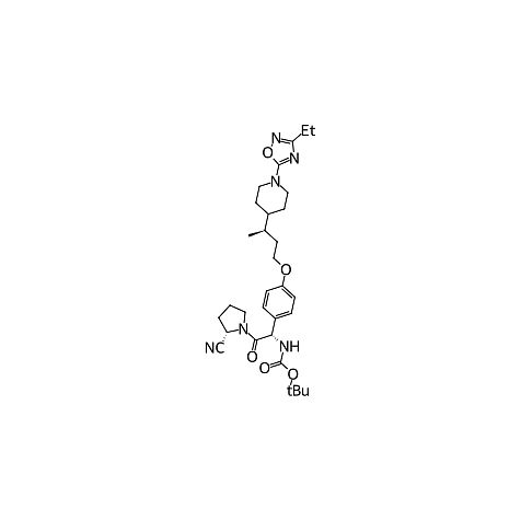 CCc1noc(N2CCC([C@H](C)CCOc3ccc([C@H](NC(=O)OC(C)(C)C)C(=O)N4CCC[C@H]4C#N)cc3)CC2)n1